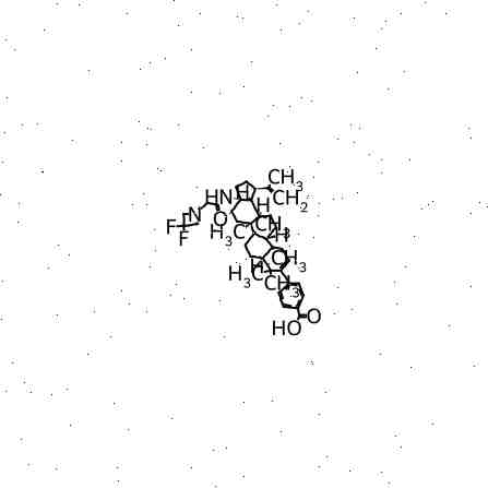 C=C(C)[C@@H]1CC[C@]2(NC(=O)CN3CC(F)(F)C3)CC[C@]3(C)[C@H](CC[C@@H]4[C@@]5(C)CC=C(c6ccc(C(=O)O)cc6)C(C)(C)[C@@H]5CC[C@]43C)[C@@H]12